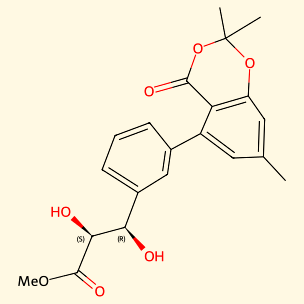 COC(=O)[C@@H](O)[C@H](O)c1cccc(-c2cc(C)cc3c2C(=O)OC(C)(C)O3)c1